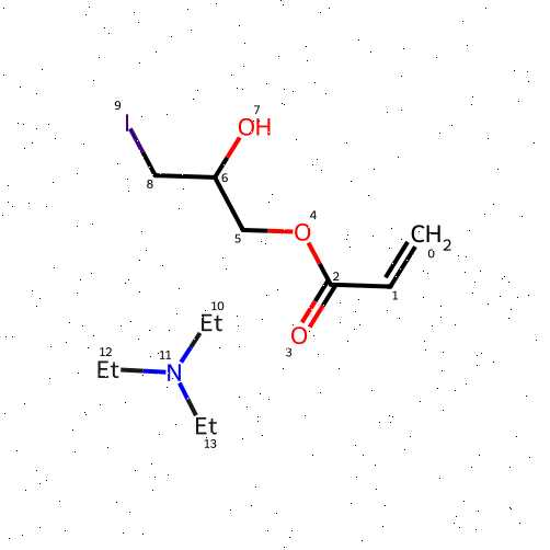 C=CC(=O)OCC(O)CI.CCN(CC)CC